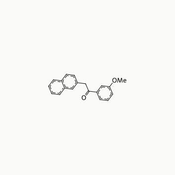 COc1cccc(C(=O)Cc2ccc3ccccc3c2)c1